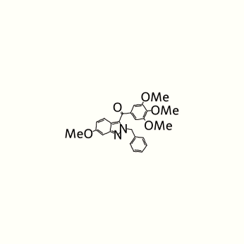 COc1ccc2c(C(=O)c3cc(OC)c(OC)c(OC)c3)n(Cc3ccccc3)nc2c1